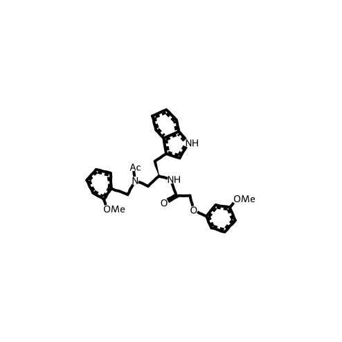 COc1cccc(OCC(=O)N[C@H](Cc2c[nH]c3ccccc23)CN(Cc2ccccc2OC)C(C)=O)c1